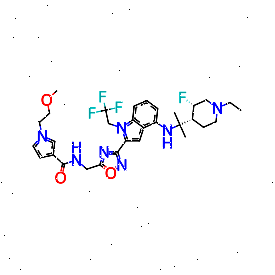 CCN1CC[C@H](C(C)(C)Nc2cccc3c2cc(-c2noc(CNC(=O)c4ccn(CCOC)c4)n2)n3CC(F)(F)F)[C@H](F)C1